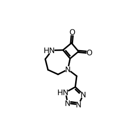 O=c1c2c(c1=O)N(Cc1nnn[nH]1)CCCN2